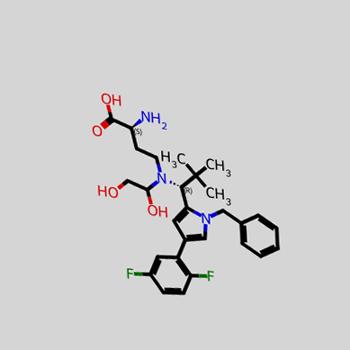 CC(C)(C)[C@H](c1cc(-c2cc(F)ccc2F)cn1Cc1ccccc1)N(CC[C@H](N)C(=O)O)C(O)CO